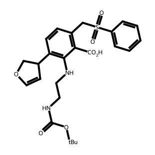 CC(C)(C)OC(=O)NCCNc1c(C2C=COC2)ccc(CS(=O)(=O)c2ccccc2)c1C(=O)O